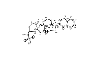 CN(C1CCC2=CC3=CC[C@]4(C)[C@@H](c5ccc6ccncc6c5)CC[C@H]4[C@@]34CC[C@]2(C1)O4)S(C)(=O)=O